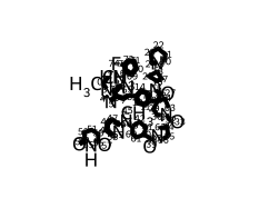 CC(C)n1cnc2cc(-c3ccc4c(c3)N(C3CC(N5CCCCC5)C3)C(=O)C43CCN(C(=O)[C@@H]4CCN(C(=O)C5CCC(N(C)c6ccc([C@H]7CCC(=O)NC7=O)cn6)CC5)C4)CC3)nc(Nc3ccccc3F)c21